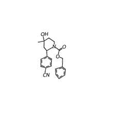 CC1(O)CCN(C(=O)OCc2ccccc2)C(c2ccc(C#N)cc2)C1